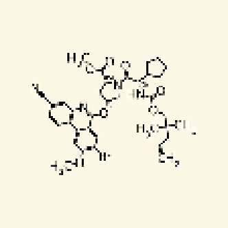 C=CCC(C)(C)COC(=O)N[C@H](C(=O)N1C[C@H](Oc2nc3cc(C#N)ccc3c3cc(OC)c(Br)cc23)C[C@H]1C(=O)OC)C1CCCC1